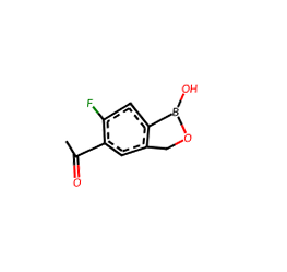 CC(=O)c1cc2c(cc1F)B(O)OC2